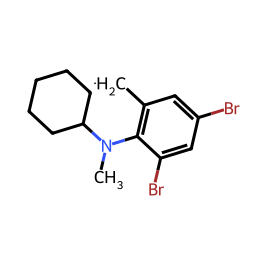 [CH2]c1cc(Br)cc(Br)c1N(C)C1CCCCC1